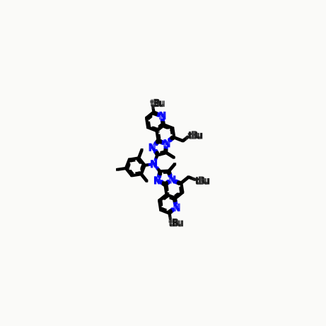 Cc1cc(C)c(N(c2nc3c4ccc(C(C)(C)C)nc4cc(CC(C)(C)C)n3c2C)c2nc3c4ccc(C(C)(C)C)nc4cc(CC(C)(C)C)n3c2C)c(C)c1